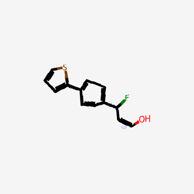 O/C=C\C(F)c1ccc(-c2cccs2)cc1